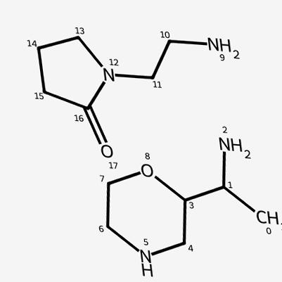 CC(N)C1CNCCO1.NCCN1CCCC1=O